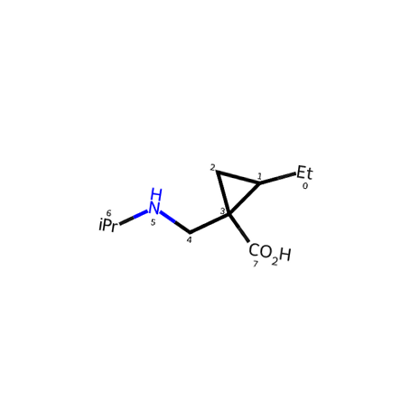 CCC1CC1(CNC(C)C)C(=O)O